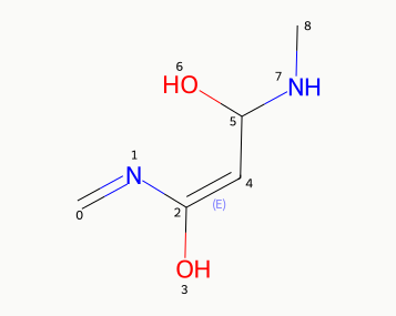 C=N/C(O)=C\C(O)NC